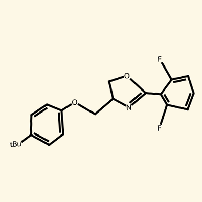 CC(C)(C)c1ccc(OCC2COC(c3c(F)cccc3F)=N2)cc1